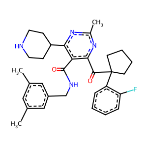 Cc1cc(C)cc(CNC(=O)c2c(C(=O)C3(c4ccccc4F)CCCC3)nc(C)nc2C2CCNCC2)c1